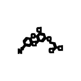 N#Cc1ccc(Oc2c(Cl)cc(OCC=C(Cl)Cl)cc2Cl)cc1